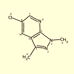 Cc1nn(C)c2ncc(Cl)cc12